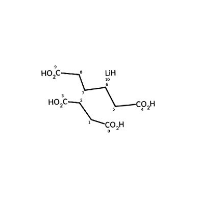 O=C(O)CCC(=O)O.O=C(O)CCCCC(=O)O.[LiH]